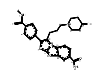 CNC(=O)c1ccc(-c2nc3sc4cc(C(N)=O)ccc4n3c2CCCN2CCC(F)CC2)cc1